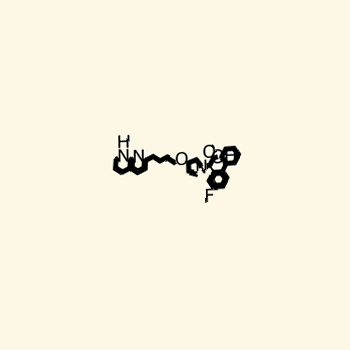 O=C(O)[C@@H](c1cc(F)ccc1C1CCCCC1)N1CC[C@@H](OCCCCc2ccc3c(n2)NCCC3)C1